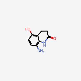 Nc1ccc(O)c2c1NC(=O)CC2